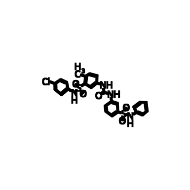 Cc1ccc(NC(=O)Nc2cccc(S(=O)(=O)Nc3ccccc3)c2)cc1S(=O)(=O)Nc1ccc(Cl)cc1